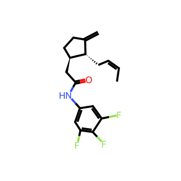 C=C1CC[C@H](CC(=O)Nc2cc(F)c(F)c(F)c2)[C@H]1C/C=C\C